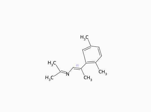 CC(C)=N/C=C(\C)c1cc(C)ccc1C